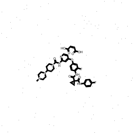 CN1CCN(C2CCN(C(=O)Nc3cc(Oc4ccc(NC(=O)C5(C(=O)Nc6ccc(F)cc6)CC5)c(F)c4)ccn3)CC2)CC1.O=C(O)/C=C\C(=O)O